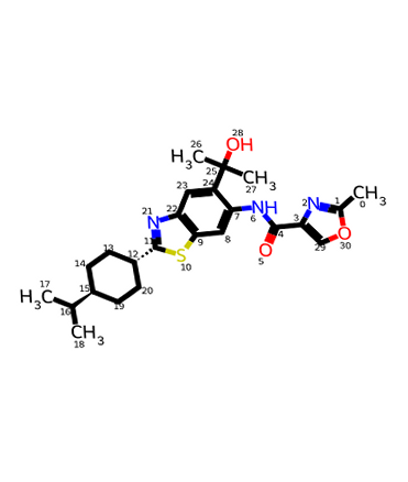 Cc1nc(C(=O)Nc2cc3sc([C@H]4CC[C@H](C(C)C)CC4)nc3cc2C(C)(C)O)co1